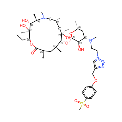 CC[C@H]1OC(=O)[C@H](C)C[C@H](C)[C@@H](O[C@@H]2O[C@H](C)C[C@H](N(C)CCn3cc(COc4ccc(S(C)(=O)=O)cc4)nn3)[C@H]2O)[C@](C)(O)C[C@@H](C)CN(C)[C@H](C)[C@@H](O)[C@]1(C)O